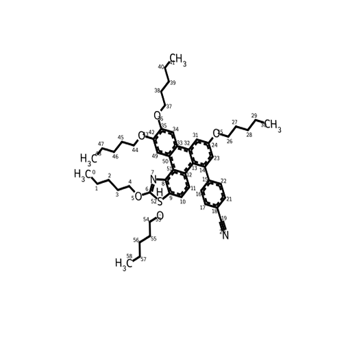 CCCCCOC1=Nc2c(ccc3c4c(-c5ccc(C#N)cc5)cc(OCCCCC)cc4c4cc(OCCCCC)c(OCCCCC)cc4c23)[SH]1OCCCCC